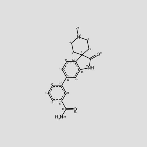 CN1CCC2(CC1)C(=O)Nc1cc(-c3cccc(C(N)=O)c3)ccc12